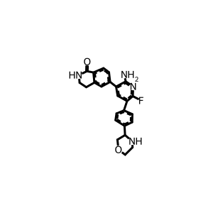 Nc1nc(F)c(-c2ccc(C3COCCN3)cc2)cc1-c1ccc2c(c1)CCNC2=O